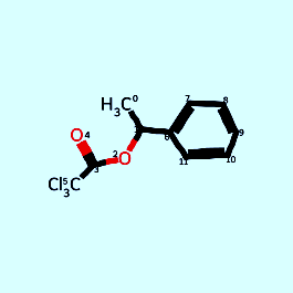 CC(OC(=O)C(Cl)(Cl)Cl)c1ccccc1